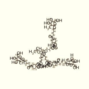 CC(C)OCC(COCCCOP(=O)(O)OC1CCN(C(=O)CCCCO[C@@H]2OC(CO)[C@H](O)[C@H](O)C2C)CC1)(COCCCOP(=O)(O)OC1CCN(C(=O)CCCCO[C@@H]2OC(CO)[C@H](O)[C@H](O)C2C)CC1)OCCCCOP(=O)(O)OC1CCN(C(=O)CCCCO[C@@H]2OC(CO)[C@H](O)[C@H](O)C2C)CC1